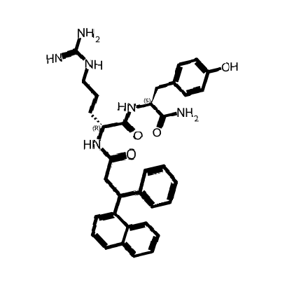 N=C(N)NCCC[C@@H](NC(=O)CC(c1ccccc1)c1cccc2ccccc12)C(=O)N[C@@H](Cc1ccc(O)cc1)C(N)=O